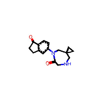 O=C1CCc2cc(N3CC4(CC4)CNCC3=O)ccc21